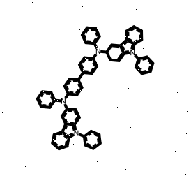 C1=c2c(n(-c3ccccc3)c3ccccc23)=CCC1N(c1ccccc1)c1ccc(-c2ccc(N(c3ccccc3)c3ccc4c(c3)c3ccccc3n4-c3ccccc3)cc2)cc1